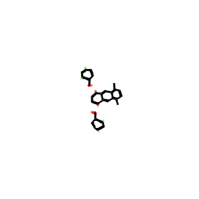 Cc1ccc(C)c2cc3c(OC(=O)c4ccc(F)cc4F)ccc(OC(=O)c4ccc(F)cc4F)c3cc12